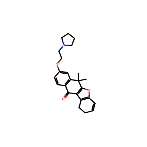 CC1(C)c2cc(OCCN3CCCC3)ccc2C(=O)c2c1oc1c2CCC=C1